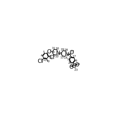 Cc1c(Cl)ccc(OC2CCN(C3CCN(C(=O)c4ccc(S(C)(=O)=O)cc4)CC3)CC2)c1Cl